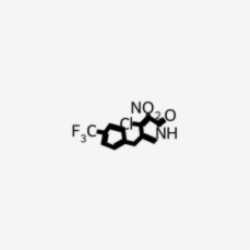 O=c1[nH]cc(Cc2ccc(C(F)(F)F)cc2)c(Cl)c1[N+](=O)[O-]